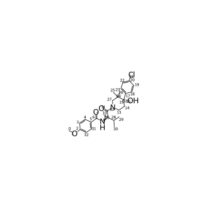 COc1ccc(C(=O)N[C@@H](C(=O)N2CC[C@](O)(c3ccc(Cl)cc3)C(C)(C)C2)C(C)C)cc1